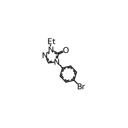 CCn1ncn(-c2ccc(Br)cc2)c1=O